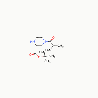 CC(C)(C)OC=O.CC(C)C(=O)N1CCNCC1